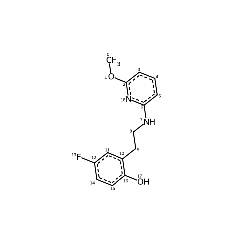 COc1cccc(NCCc2cc(F)ccc2O)n1